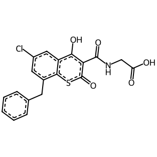 O=C(O)CNC(=O)c1c(O)c2cc(Cl)cc(Cc3ccccc3)c2sc1=O